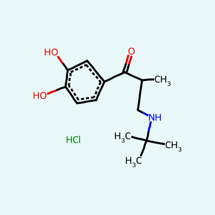 CC(CNC(C)(C)C)C(=O)c1ccc(O)c(O)c1.Cl